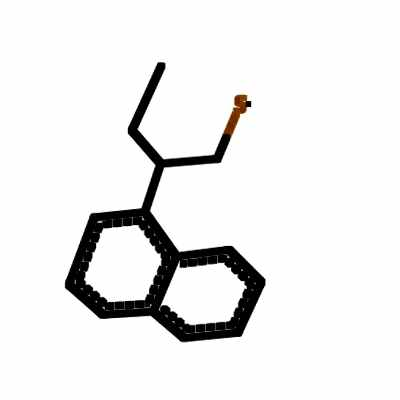 CCC(C[S])c1cccc2ccccc12